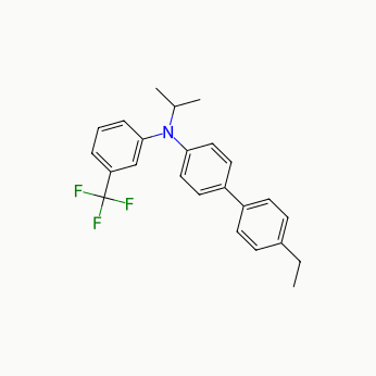 CCc1ccc(-c2ccc(N(c3cccc(C(F)(F)F)c3)C(C)C)cc2)cc1